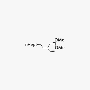 C=CC(CCCCCCCCC)[CH2][Ti]([O]C)[O]C